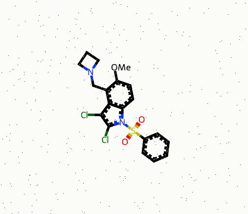 COc1ccc2c(c(Cl)c(Cl)n2S(=O)(=O)c2ccccc2)c1CN1CCC1